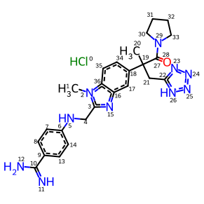 Cl.Cn1c(CNc2ccc(C(=N)N)cc2)nc2cc(C(C)(Cc3nnn[nH]3)C(=O)N3CCCC3)ccc21